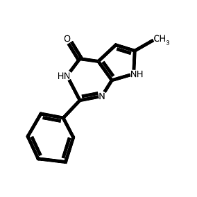 Cc1cc2c(=O)[nH]c(-c3ccccc3)nc2[nH]1